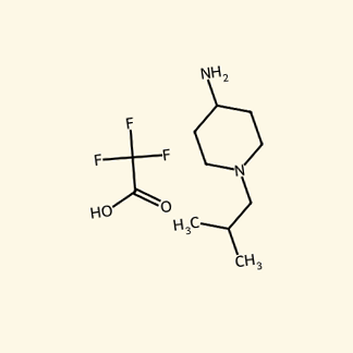 CC(C)CN1CCC(N)CC1.O=C(O)C(F)(F)F